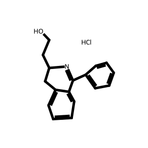 Cl.OCCC1Cc2ccccc2C(c2ccccc2)=N1